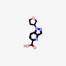 O=C(O)c1ccc2c(cnn2C2CCOC2)n1